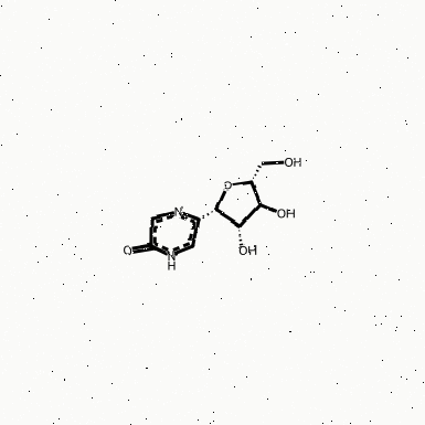 O=c1cnc([C@@H]2O[C@H](CO)C(O)[C@@H]2O)c[nH]1